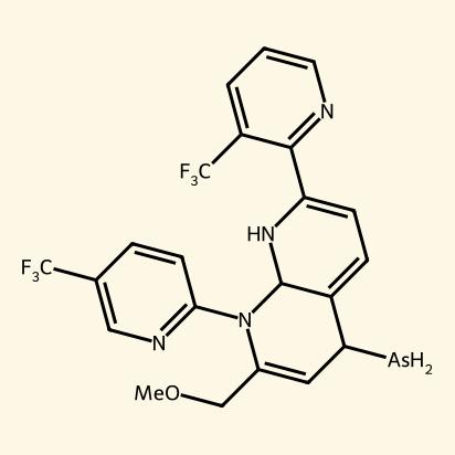 COCC1=CC([AsH2])C2=CC=C(c3ncccc3C(F)(F)F)NC2N1c1ccc(C(F)(F)F)cn1